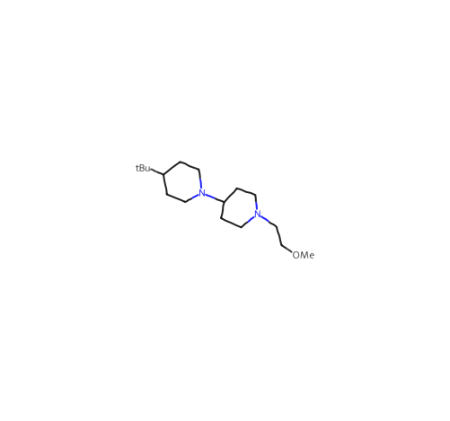 COCCN1CCC(N2CCC(C(C)(C)C)CC2)CC1